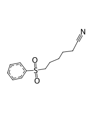 N#CCCCCCS(=O)(=O)c1ccccc1